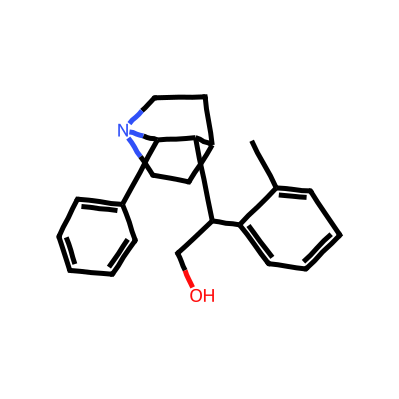 Cc1ccccc1C(CO)C1C2CCN(CC2)C1c1ccccc1